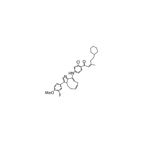 COc1ccc(C2=CN=C3/C(Nc4ccc(C(=O)/C=C(/C)CCC5CCCCC5)c(Cl)c4)=C/C/C=C\CCC23)cc1F